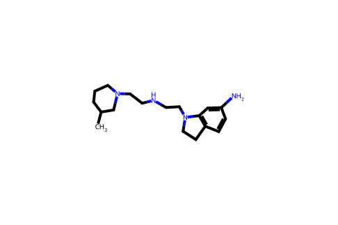 CC1CCCN(CCNCCN2CCc3ccc(N)cc32)C1